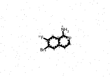 Nc1nccc2cc(Br)c(F)cc12